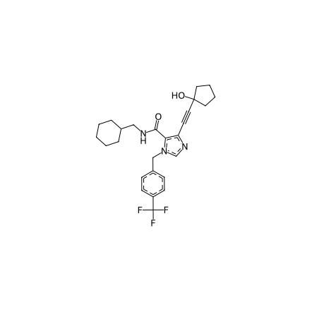 O=C(NCC1CCCCC1)c1c(C#CC2(O)CCCC2)ncn1Cc1ccc(C(F)(F)F)cc1